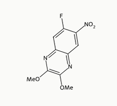 COc1nc2cc(F)c([N+](=O)[O-])cc2nc1OC